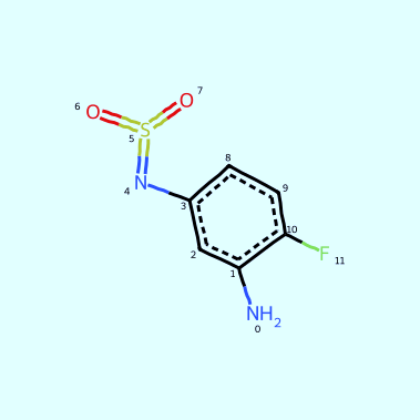 Nc1cc(N=S(=O)=O)ccc1F